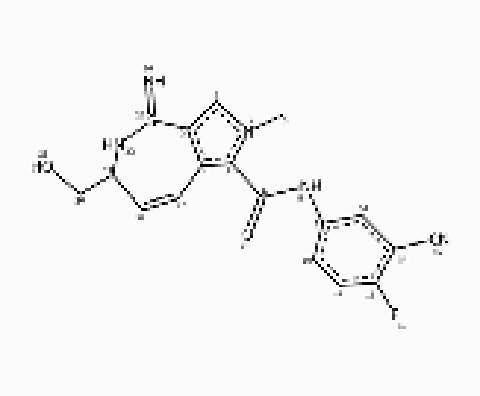 Cn1cc2c(c1C(=O)Nc1ccc(F)c(C#N)c1)C=CC(CO)NS2=N